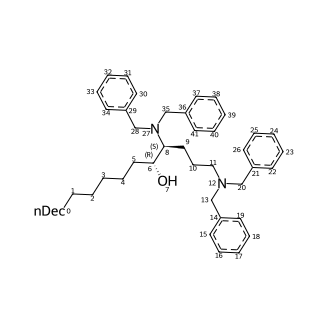 CCCCCCCCCCCCCCC[C@@H](O)[C@H](CCCN(Cc1ccccc1)Cc1ccccc1)N(Cc1ccccc1)Cc1ccccc1